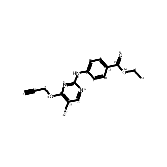 C#CCOc1nc(Nc2ccc(C(=O)OCC)cc2)ncc1Br